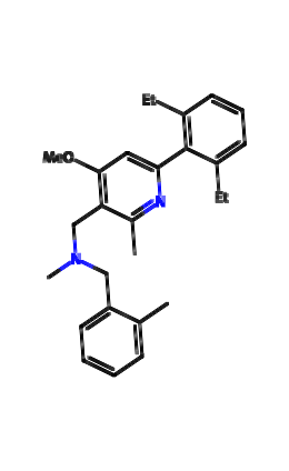 CCc1cccc(CC)c1-c1cc(OC)c(CN(C)Cc2ccccc2C)c(C)n1